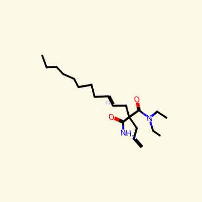 C=CCC(C/C=C/CCCCCCCC)(C(N)=O)C(=O)N(CC)CC